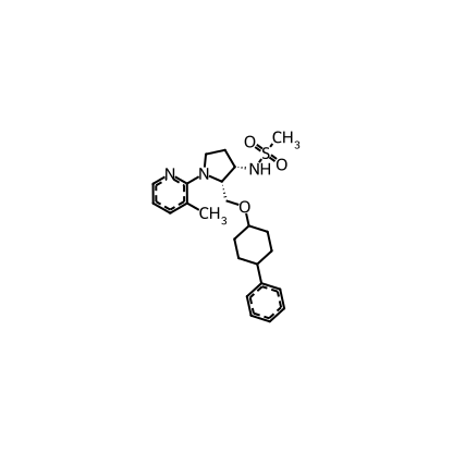 Cc1cccnc1N1CC[C@H](NS(C)(=O)=O)[C@@H]1COC1CCC(c2ccccc2)CC1